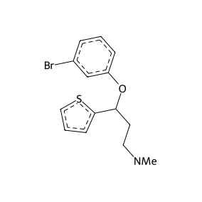 CNCCC(Oc1cccc(Br)c1)c1cccs1